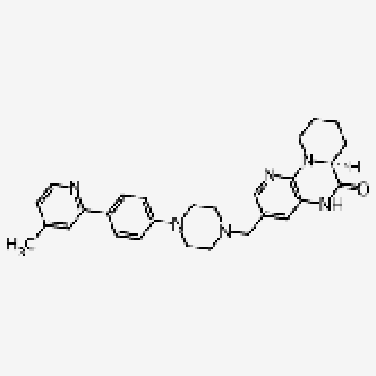 Cc1ccnc(-c2ccc(N3CCN(Cc4cnc5c(c4)NC(=O)[C@@H]4CCCCN54)CC3)cc2)c1